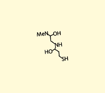 CNC(O)CNC(O)CCS